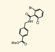 COC(=O)c1ccc(CNC(=O)c2c(Cl)cccc2Br)cc1